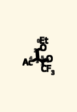 CCOC=C(C(C)=O)C(=O)C(F)(F)F